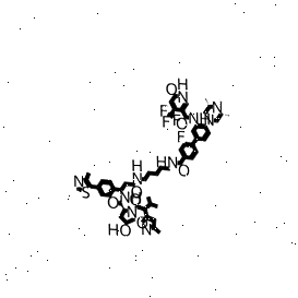 Cc1cc(C(C(=O)N2C[C@H](O)C[C@H]2C(=O)NC(CC(=O)NCCCCCNC(=O)c2ccc(-c3ccc(N4C[C@@H](C)N(C)[C@@H](C)C4)c(NC(=O)c4c[nH]c(=O)cc4C(F)(F)F)c3)c(F)c2)c2ccc(-c3scnc3C)cc2)C(C)C)on1